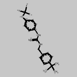 CC(C)(C)c1ccc(CNC(=N)Nc2ccc(OC(F)(F)F)cc2)cc1